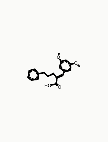 COc1cc(/C=C(\CCCc2ccccc2)C(=O)O)cc(OC)c1